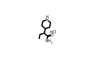 CCC(C(N)=O)C1CCNCC1.Cl